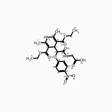 CCOC(=O)C1=C(C)NC(C)=C(C(=O)OCC)C1C(Oc1ccc([N+](=O)[O-])cc1)C(=O)NCC(=O)O